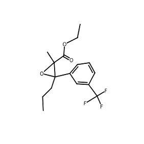 CCCC1(c2cccc(C(F)(F)F)c2)OC1(C)C(=O)OCC